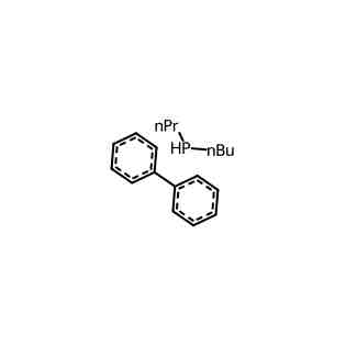 CCCCPCCC.c1ccc(-c2ccccc2)cc1